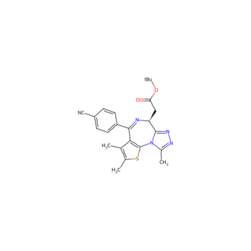 Cc1sc2c(c1C)C(c1ccc(C#N)cc1)=N[C@@H](CC(=O)OC(C)(C)C)c1nnc(C)n1-2